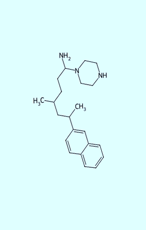 CC(CCC(N)N1CCNCC1)CC(C)c1ccc2ccccc2c1